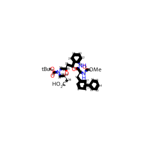 COC(=O)N[C@@H](Cc1cccc(-c2ccccc2)c1)C(=O)Nc1ccccc1CC[C@@H]1CN(C(=O)OC(C)(C)C)C[C@@H](CC(=O)O)O1